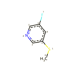 CSc1cn[c]c(F)c1